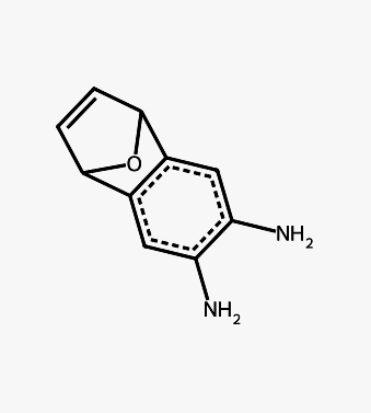 Nc1cc2c(cc1N)C1C=CC2O1